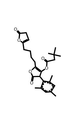 Cc1cc(C)c(C2C(=O)OC(CCCCC3=CCC(=O)O3)=C2OC(=O)CC(C)(C)C)c(C)c1